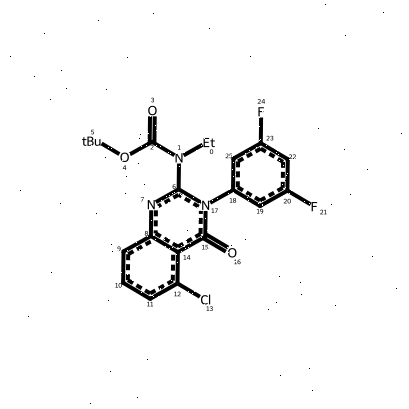 CCN(C(=O)OC(C)(C)C)c1nc2cccc(Cl)c2c(=O)n1-c1cc(F)cc(F)c1